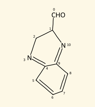 O=CC1CN=c2ccccc2=N1